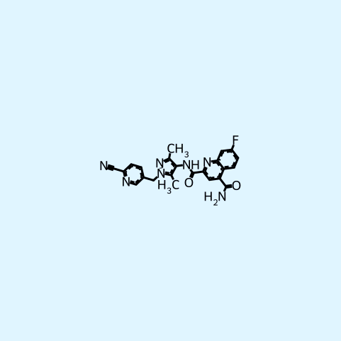 Cc1nn(Cc2ccc(C#N)nc2)c(C)c1NC(=O)c1cc(C(N)=O)c2ccc(F)cc2n1